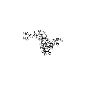 C[C@H](CCCC(C)(C)O)[C@H]1CC[C@H]2[C@@H]3C[C@@H](OS(C)(=O)=O)[C@H]4CC(=O)[C@@H]5O[C@@H]5[C@]4(C)[C@H]3CC[C@]12C